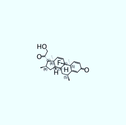 C[C@@H]1C[C@H]2[C@@H]3C[C@H](C)C4=CC(=O)C=C[C@]4(C)[C@@]3(F)C=C[C@]2(C)[C@H]1C(=O)CO